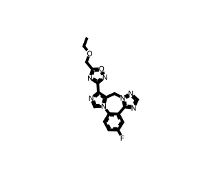 CCOCc1nc(-c2ncn3c2Cn2ncnc2-c2cc(F)ccc2-3)no1